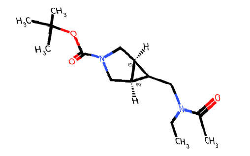 CCN(CC1[C@H]2CN(C(=O)OC(C)(C)C)C[C@@H]12)C(C)=O